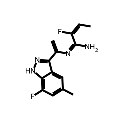 C=C(/N=C(N)\C(F)=C/C)c1n[nH]c2c(F)cc(C)cc12